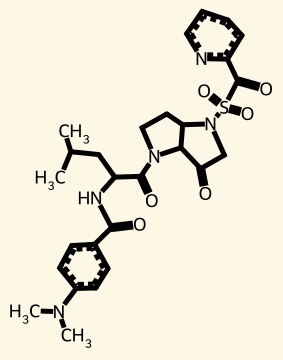 CC(C)CC(NC(=O)c1ccc(N(C)C)cc1)C(=O)N1CCC2C1C(=O)CN2S(=O)(=O)C(=O)c1ccccn1